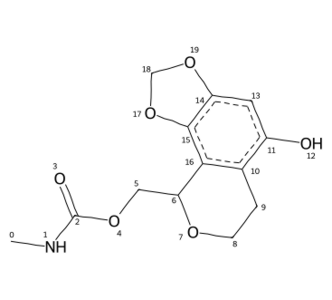 CNC(=O)OCC1OCCc2c(O)cc3c(c21)OCO3